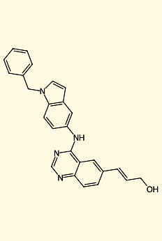 OC/C=C/c1ccc2ncnc(Nc3ccc4c(ccn4Cc4ccccc4)c3)c2c1